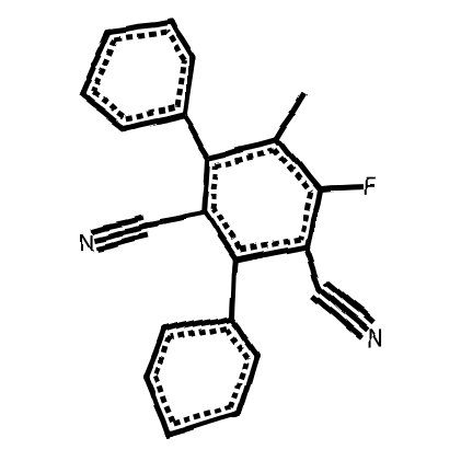 Cc1c(F)c(C#N)c(-c2ccccc2)c(C#N)c1-c1ccccc1